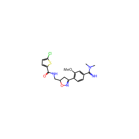 COc1cc(C(=N)N(C)C)ccc1C1=NOC(CNC(=O)c2ccc(Cl)s2)C1